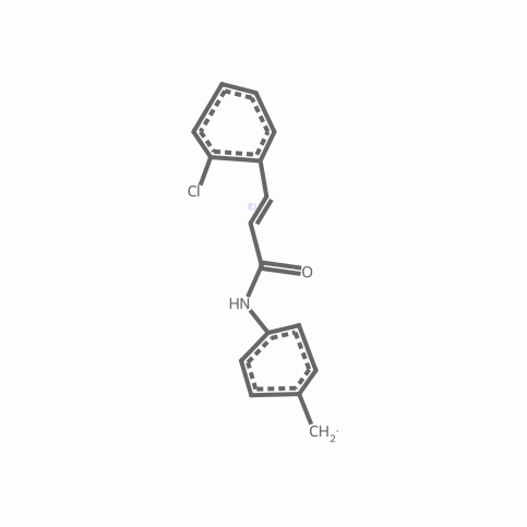 [CH2]c1ccc(NC(=O)/C=C/c2ccccc2Cl)cc1